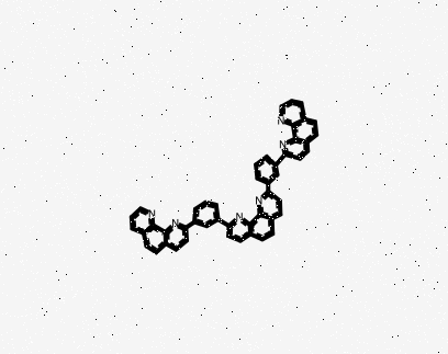 c1cc(-c2ccc3ccc4cccnc4c3n2)cc(-c2ccc3ccc4ccc(-c5cccc(-c6ccc7ccc8cccnc8c7n6)c5)nc4c3n2)c1